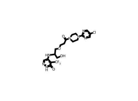 O=C(CCOCC(CO)Nc1cn[nH]c(=O)c1C(F)(F)F)N1CCN(c2ncc(Cl)cn2)CC1